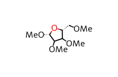 COC[C@H]1O[C@@H](OC)C(OC)C1OC